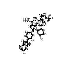 CC(C)(C)c1nc(CN(c2nn(-c3ccc(-c4cc5ncccn5n4)cc3)cc2C(=O)O)C(=O)[C@H]2CC[C@H](C)CC2)no1